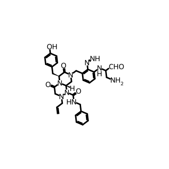 C=CCN1CC(=O)N2[C@@H](Cc3ccc(O)cc3)C(=O)N(Cc3cccc(NC(C=O)CN)c3N=N)C[C@@H]2N1C(=O)NCc1ccccc1